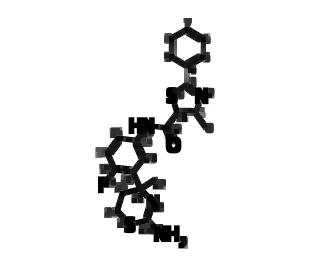 Cc1nc(-c2ccccc2)sc1C(=O)Nc1ccc(F)c(C2(C)CCSC(N)=N2)c1